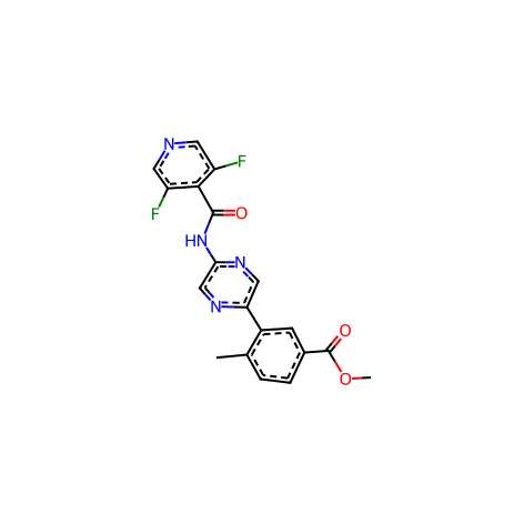 COC(=O)c1ccc(C)c(-c2cnc(NC(=O)c3c(F)cncc3F)cn2)c1